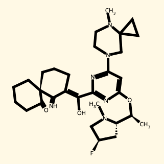 C[C@H](Oc1cc(N2CCN(C)C3(CC3)C2)nc(/C(O)=C2\CCC[C@@]3(CCCCC3=O)C2=N)n1)[C@@H]1C[C@@H](F)CN1C